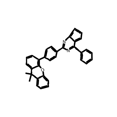 CC1(C)c2ccccc2Oc2c(-c3ccc(-c4nc(-c5ccccc5)c5ccccc5n4)cc3)cccc21